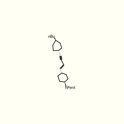 CCCCC[C@H]1CC[C@H](C=CC#C[C@H]2CC[C@H](CCCC)CC2)CC1